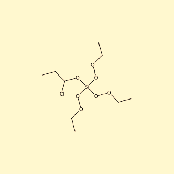 CCOO[Si](OOCC)(OOCC)OC(Cl)CC